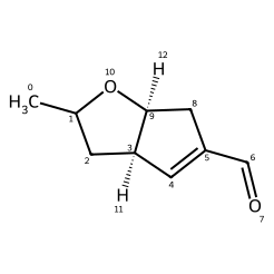 CC1C[C@@H]2C=C(C=O)C[C@@H]2O1